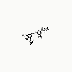 COc1c(N)cc(COCc2cc(C(F)(F)F)cc(NC(=O)OC(C)(C)C)n2)cc1-c1ncn(C)n1